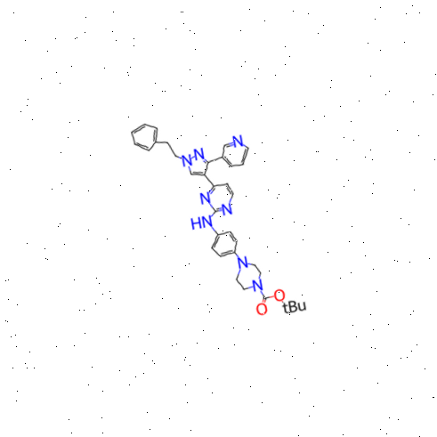 CC(C)(C)OC(=O)N1CCN(c2ccc(Nc3nccc(-c4cn(CCc5ccccc5)nc4-c4cccnc4)n3)cc2)CC1